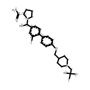 CCC(F)(CC)CN1CCC(COc2ccc(-c3ccc(C(O)N4CCC[C@H]4C(N)=O)cc3F)cc2)CC1